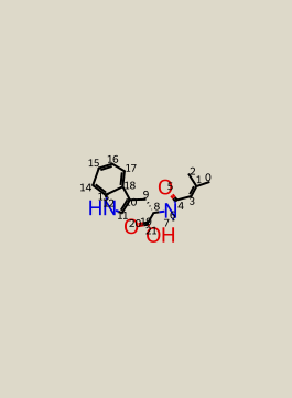 CC(C)=CC(=O)N(C)[C@@H](Cc1c[nH]c2ccccc12)C(=O)O